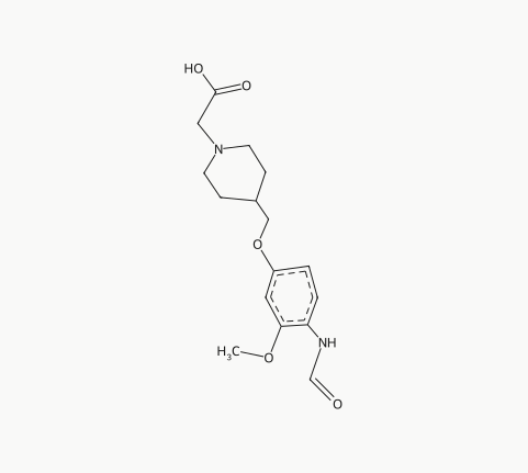 COc1cc(OCC2CCN(CC(=O)O)CC2)ccc1NC=O